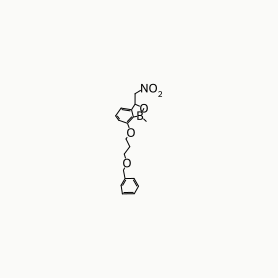 CB1OC(C[N+](=O)[O-])c2cccc(OCCCOCc3ccccc3)c21